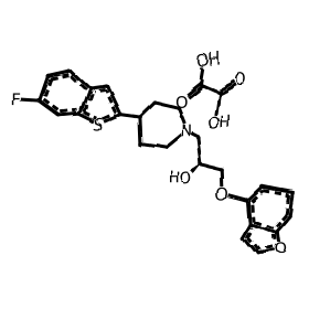 O=C(O)C(=O)O.O[C@H](COc1cccc2occc12)CN1CCC(c2cc3ccc(F)cc3s2)CC1